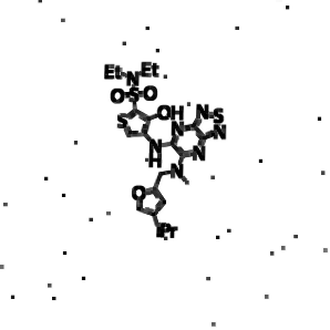 CCN(CC)S(=O)(=O)c1scc(Nc2nc3nsnc3nc2N(C)Cc2cc(C(C)C)co2)c1O